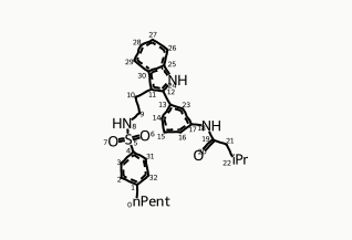 CCCCCc1ccc(S(=O)(=O)NCCc2c(-c3cccc(NC(=O)CC(C)C)c3)[nH]c3ccccc23)cc1